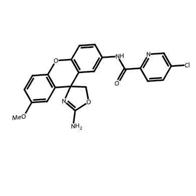 COc1ccc2c(c1)C1(COC(N)=N1)c1cc(NC(=O)c3ccc(Cl)cn3)ccc1O2